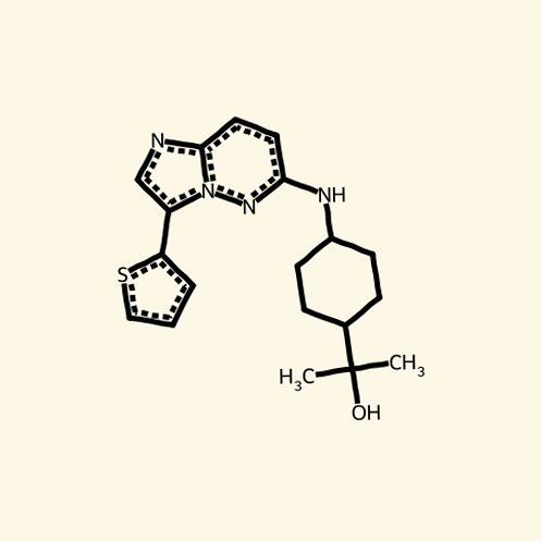 CC(C)(O)C1CCC(Nc2ccc3ncc(-c4cccs4)n3n2)CC1